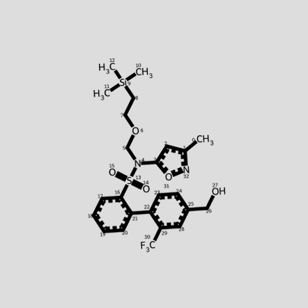 Cc1cc(N(COCC[Si](C)(C)C)S(=O)(=O)c2ccccc2-c2ccc(CO)cc2C(F)(F)F)on1